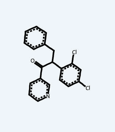 O=C(c1cccnc1)C(Cc1ccccc1)c1ccc(Cl)cc1Cl